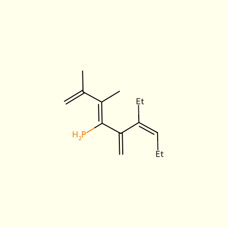 C=C(C)/C(C)=C(\P)C(=C)/C(=C\CC)CC